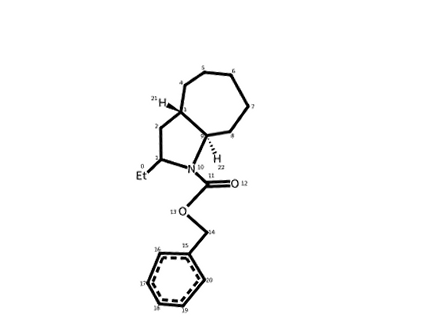 CCC1C[C@@H]2CCCCC[C@H]2N1C(=O)OCc1ccccc1